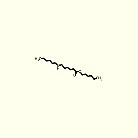 [CH2]CCCCCOC(=O)CCCCCNCCCCCC